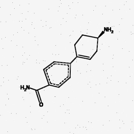 NC(=O)c1ccc(C2=CC[C@H](N)CC2)cc1